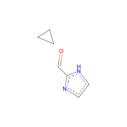 C1CC1.O=Cc1ncc[nH]1